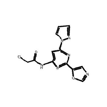 O=C(CCl)Nc1cc(-n2cccn2)nc(-c2cnco2)n1